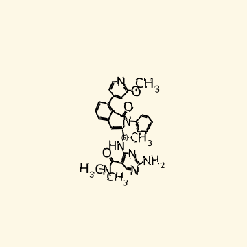 COc1cc(-c2cccc3cc([C@H](C)Nc4nc(N)ncc4C(=O)N(C)C)n(-c4ccccc4)c(=O)c23)ccn1